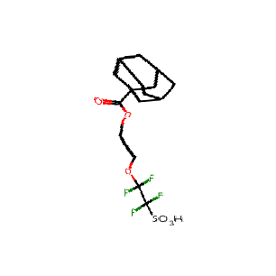 O=C(OCCOC(F)(F)C(F)(F)S(=O)(=O)O)C12CC3CC(CC(C3)C1)C2